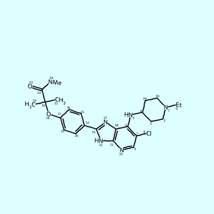 CCN1CCC(Nc2c(Cl)cnc3[nH]c(-c4ccc(OC(C)(C)C(=O)NC)cc4)nc23)CC1